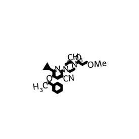 COCCC(=O)N1CCN(c2nc(C3CC3)c(O[C@H](C)c3ccccc3)cc2C#N)C[C@H]1C